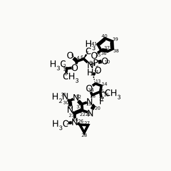 CC(C)OC(=O)[C@@H](C)N[P@](=O)(OC[C@@H]1C[C@@](C)(F)[C@H](n2cnc3c(N(C)C4CC4)nc(N)nc32)O1)Oc1ccccc1